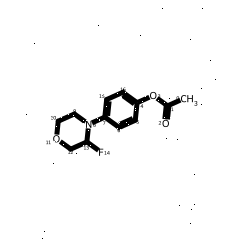 CC(=O)Oc1ccc(N2CCOCC2F)cc1